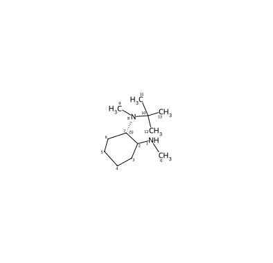 CNC1CCCC[C@@H]1N(C)C(C)(C)C